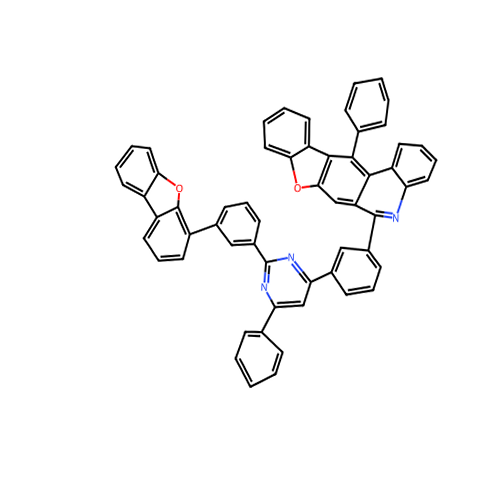 c1ccc(-c2cc(-c3cccc(-c4nc5ccccc5c5c(-c6ccccc6)c6c(cc45)oc4ccccc46)c3)nc(-c3cccc(-c4cccc5c4oc4ccccc45)c3)n2)cc1